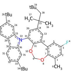 Cc1cc(F)cc2c1OCOc1c-2cc(C(C)(C)CC(C)(C)C)cc1-n1c2cc(C(C)(C)C)ccc2c2ccc(C(C)(C)C)cc21